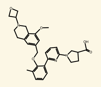 COc1cc(COc2c(C)cccc2-c2cccc(N3CCC(C(=O)O)C3)n2)cc2c1CN(C1COC1)CC2